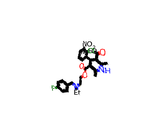 CCN(CCOC(=O)C1=C(C)NC(C)=C(C(=O)OC)C1c1cccc([N+](=O)[O-])c1Cl)Cc1ccc(F)cc1